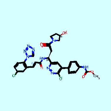 COC(=O)Nc1ccc(-c2cc([C@H](CC(=O)N3CC[C@@H](O)C3)NC(=O)/C=C/c3cc(Cl)ccc3-n3cnnn3)nnc2Cl)cc1